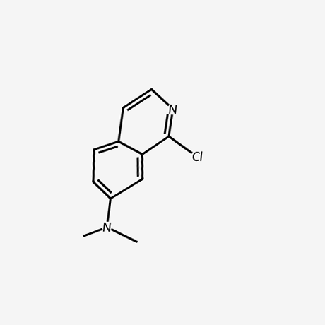 CN(C)c1ccc2ccnc(Cl)c2c1